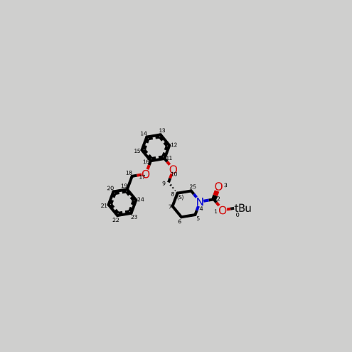 CC(C)(C)OC(=O)N1CCC[C@H](COc2ccccc2OCc2ccccc2)C1